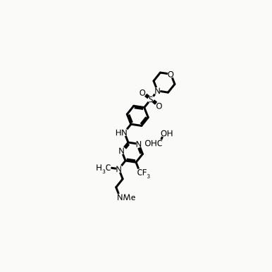 CNCCN(C)c1nc(Nc2ccc(S(=O)(=O)N3CCOCC3)cc2)ncc1C(F)(F)F.O=CO